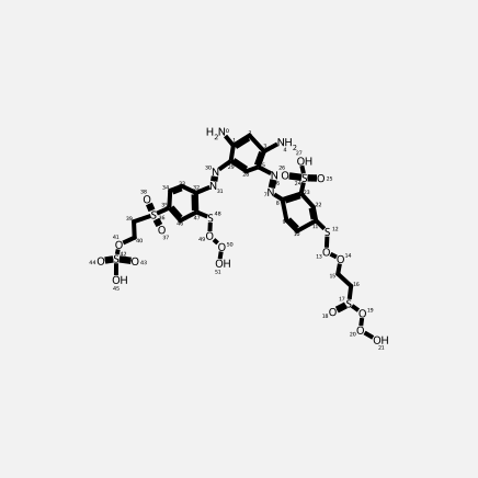 Nc1cc(N)c(N=Nc2ccc(SOOCCS(=O)OOO)cc2S(=O)(=O)O)cc1N=Nc1ccc(S(=O)(=O)CCOS(=O)(=O)O)cc1SOOO